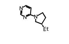 CC[C@@H]1CCN(c2ccncn2)C1